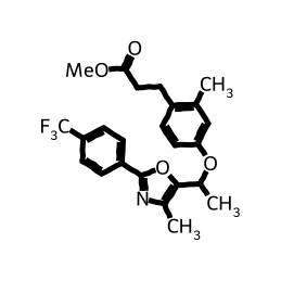 COC(=O)CCc1ccc(OC(C)c2oc(-c3ccc(C(F)(F)F)cc3)nc2C)cc1C